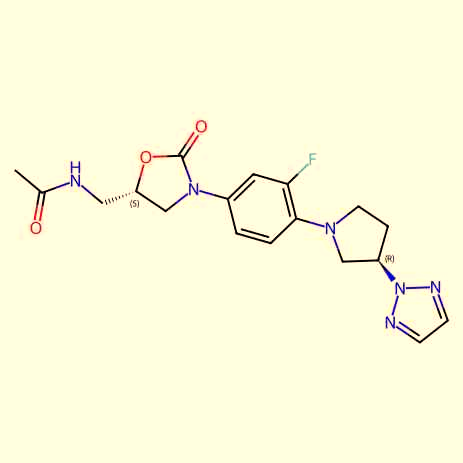 CC(=O)NC[C@H]1CN(c2ccc(N3CC[C@@H](n4nccn4)C3)c(F)c2)C(=O)O1